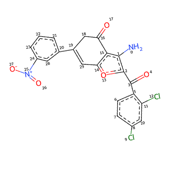 Nc1c(C(=O)c2ccc(Cl)cc2Cl)oc2c1C(=O)CC(c1cccc([N+](=O)[O-])c1)=C2